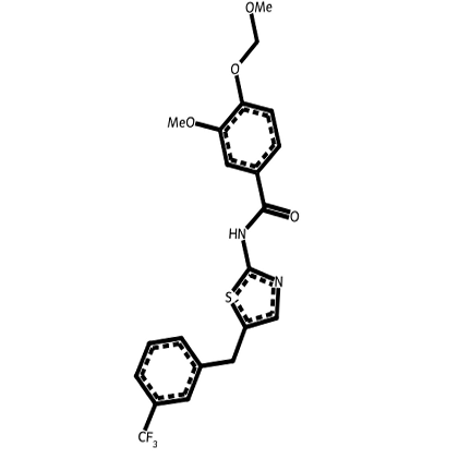 COCOc1ccc(C(=O)Nc2ncc(Cc3cccc(C(F)(F)F)c3)s2)cc1OC